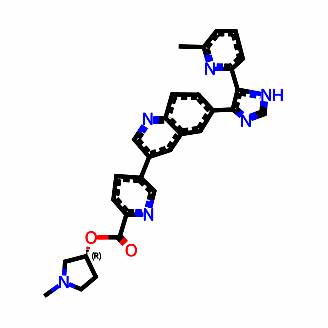 Cc1cccc(-c2[nH]cnc2-c2ccc3ncc(-c4ccc(C(=O)O[C@@H]5CCN(C)C5)nc4)cc3c2)n1